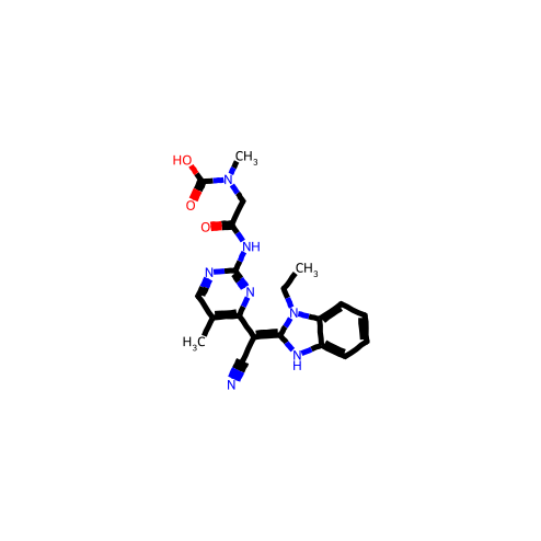 CCN1C(=C(C#N)c2nc(NC(=O)CN(C)C(=O)O)ncc2C)Nc2ccccc21